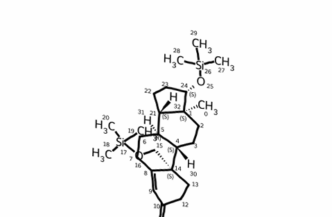 C[C@]12CC[C@H]3[C@@H](CCC4=CC(=O)CC[C@@]43CO[Si](C)(C)C)[C@@H]1CC[C@@H]2O[Si](C)(C)C